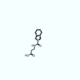 O=C(O)CCNC(=O)n1cc2ccccc2c1